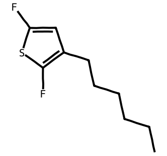 CCCCCCc1cc(F)sc1F